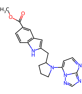 COC(=O)c1ccc2[nH]c(CC3CCCN3c3ccnc4ncnn34)cc2c1